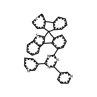 c1cncc(-c2nc(-c3cccnc3)nc(-c3cccc4c3-c3c(sc5ccccc35)C43c4ccccc4-c4ccccc43)n2)c1